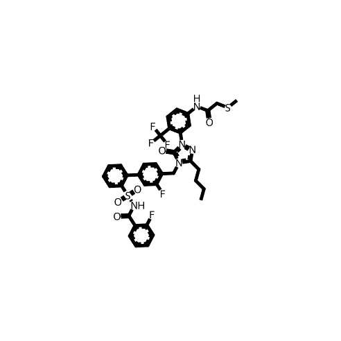 CCCCc1nn(-c2cc(NC(=O)CSC)ccc2C(F)(F)F)c(=O)n1Cc1ccc(-c2ccccc2S(=O)(=O)NC(=O)c2ccccc2F)cc1F